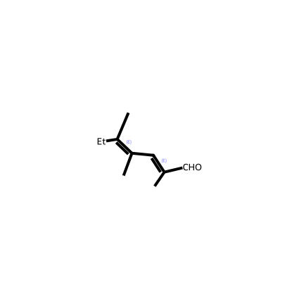 CC/C(C)=C(C)/C=C(\C)C=O